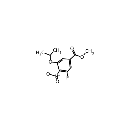 COC(=O)c1cc(F)c([N+](=O)[O-])c(OC(C)C)c1